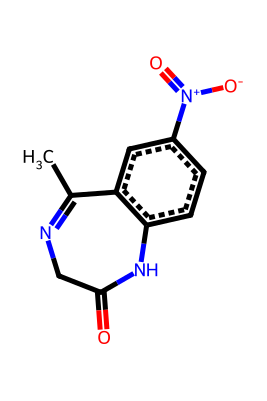 CC1=NCC(=O)Nc2ccc([N+](=O)[O-])cc21